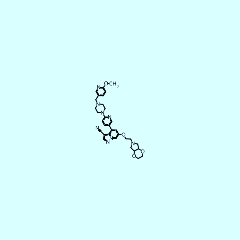 COc1ccc(CN2CCN(c3ccc(-c4cc(OCCN5CC6OCCOC6C5)cn5ncc(C#N)c45)cn3)CC2)cn1